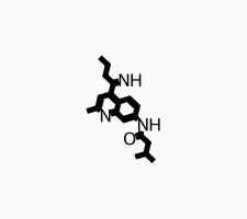 CCCC(=N)c1cc(C)nc2cc(NC(=O)CC(C)C)ccc12